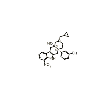 O=[N+]([O-])c1cccc2c3c([nH]c12)C[C@]1(c2cccc(O)c2)CCN(CC2CC2)C[C@@]1(O)C3